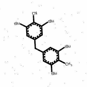 Cc1c(C(C)(C)C)cc(Cc2cc(C(C)(C)C)c(C#N)c(C(C)(C)C)c2)cc1C(C)(C)C